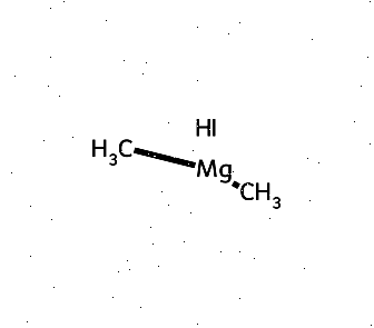 I.[CH3][Mg][CH3]